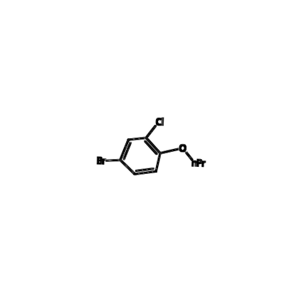 CCCOc1ccc(Br)cc1Cl